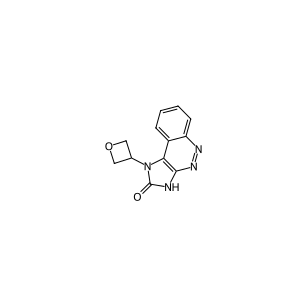 O=c1[nH]c2nnc3ccccc3c2n1C1COC1